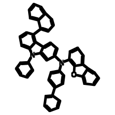 c1ccc(-c2ccc(N(c3ccc4c5c(-c6cccc7ccccc67)cccc5n(-c5ccccc5)c4c3)c3cccc4c3oc3ccccc34)cc2)cc1